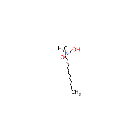 CCCCCCCCCCCCCC(=O)N(CC)CCO